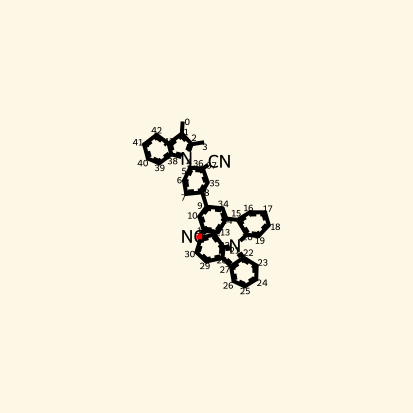 Cc1c(C)n(-c2ccc(-c3cc(C#N)cc(-c4ccccc4-n4c5ccccc5c5ccccc54)c3)cc2C#N)c2ccccc12